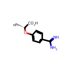 CCC[C@@H](Oc1ccc(C(=N)N)cc1)C(=O)O